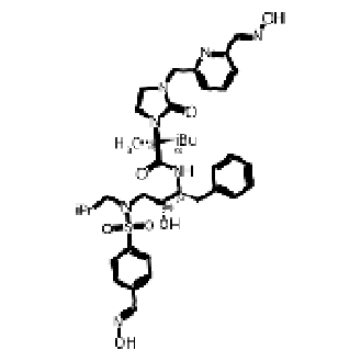 CC[C@H](C)[C@@](C)(C(=O)N[C@@H](Cc1ccccc1)[C@H](O)CN(CC(C)C)S(=O)(=O)c1ccc(C=NO)cc1)N1CCN(Cc2cccc(C=NO)n2)C1=O